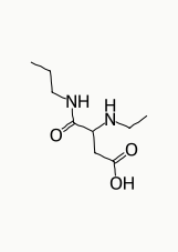 CCCNC(=O)C(CC(=O)O)NCC